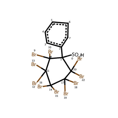 O=S(=O)(O)C1(c2ccccc2)C(Br)(Br)C(Br)(Br)C(Br)(Br)C(Br)(Br)C1(Br)Br